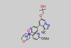 COc1ccc(C(=O)N2C3COC2CN(c2ccc(-c4cc(OCC(C)(C)O)cn5ncc(C#N)c45)cn2)C3)cn1